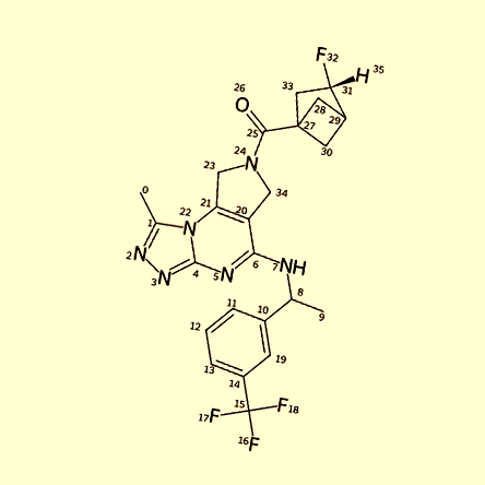 Cc1nnc2nc(NC(C)c3cccc(C(F)(F)F)c3)c3c(n12)CN(C(=O)C12CC(C1)[C@@H](F)C2)C3